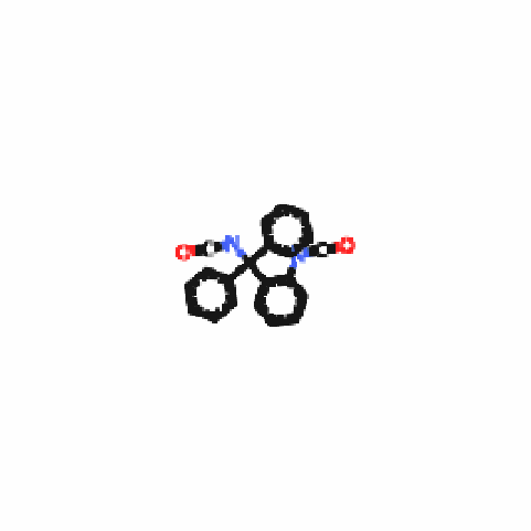 O=C=Nc1ccccc1C(N=C=O)(c1ccccc1)c1ccccc1